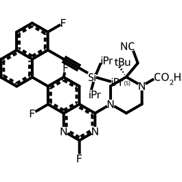 CC(C)[Si](C#Cc1c(F)ccc2cccc(-c3c(F)cc4c(N5CCN(C(=O)O)[C@@](CC#N)(C(C)(C)C)C5)nc(F)nc4c3F)c12)(C(C)C)C(C)C